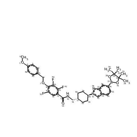 COc1ccc(COc2c(F)cc(C(=O)NC[C@H]3CC[C@H](n4cc5ccc(B6OC(C)(C)C(C)(C)O6)cc5n4)CC3)c(F)c2F)cc1